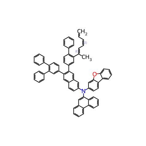 C=C/C=C\C=C(/C)c1cc(-c2cc3cc(N(c4ccc5c(c4)oc4ccccc45)c4cc5ccccc5c5ccccc45)ccc3cc2-c2ccc(-c3ccccc3)c(-c3ccccc3)c2)ccc1-c1ccccc1